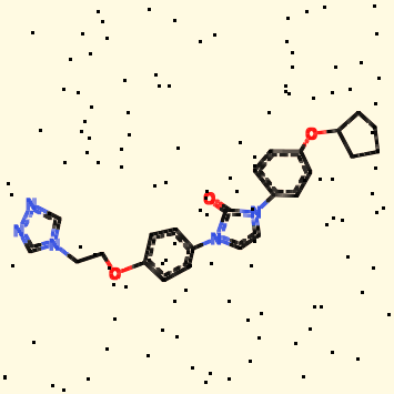 O=c1n(-c2ccc(OCCn3cnnc3)cc2)ccn1-c1ccc(OC2CCCC2)cc1